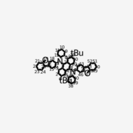 CC(C)(C)c1ccc2c(N(c3ccccc3)c3ccc4c(c3)oc3ccccc34)c3cc(C(C)(C)C)ccc3c(N(c3ccccc3)c3ccc4c(c3)oc3ccccc34)c2c1